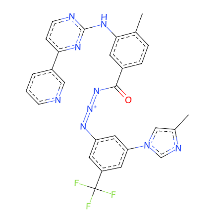 Cc1cn(-c2cc(N=[N+]=NC(=O)c3ccc(C)c(Nc4nccc(-c5cccnc5)n4)c3)cc(C(F)(F)F)c2)cn1